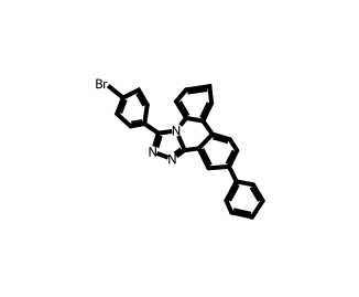 Brc1ccc(-c2nnc3c4cc(-c5ccccc5)ccc4c4ccccc4n23)cc1